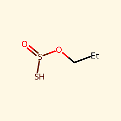 CCCOS(=O)S